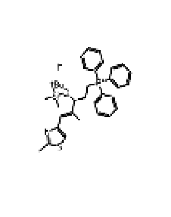 C/C(=C\c1csc(C)n1)[C@H](CC[P+](c1ccccc1)(c1ccccc1)c1ccccc1)O[Si](C)(C)C(C)(C)C.[I-]